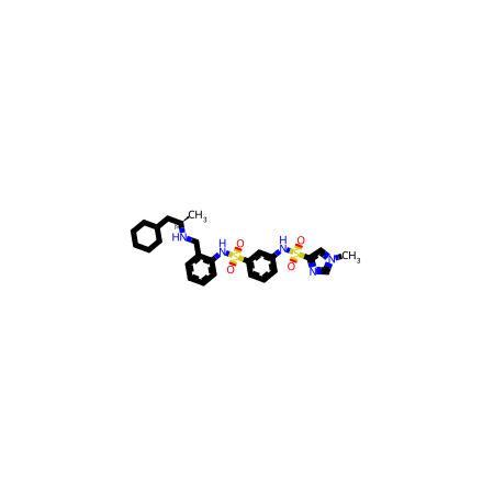 C[C@@H](CC1CCCCC1)NCc1ccccc1NS(=O)(=O)c1cccc(NS(=O)(=O)c2cn(C)cn2)c1